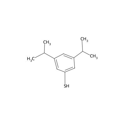 CC(C)c1cc(S)cc(C(C)C)c1